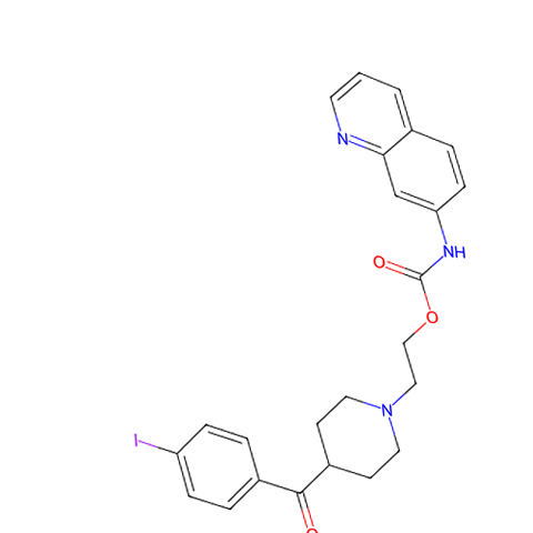 O=C(Nc1ccc2cccnc2c1)OCCN1CCC(C(=O)c2ccc(I)cc2)CC1